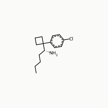 CCCC[C@@H](N)C1(c2ccc(Cl)cc2)CCC1